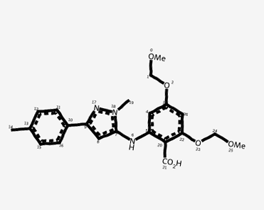 COCOc1cc(Nc2cc(-c3ccc(C)cc3)nn2C)c(C(=O)O)c(OCOC)c1